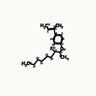 CC=C(C)c1ccc(OC(C)C(F)CCCCCC)cc1